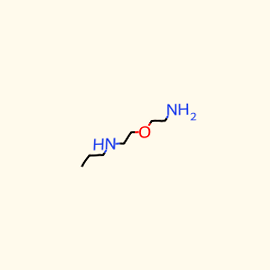 CCCNCCOCCN